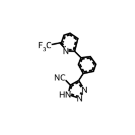 N#Cc1[nH]nnc1-c1cccc(-c2cccc(C(F)(F)F)n2)c1